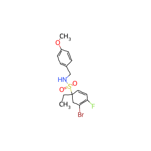 CCC1(S(=O)(=O)NCc2ccc(OC)cc2)C=CC(F)=C(Br)C1